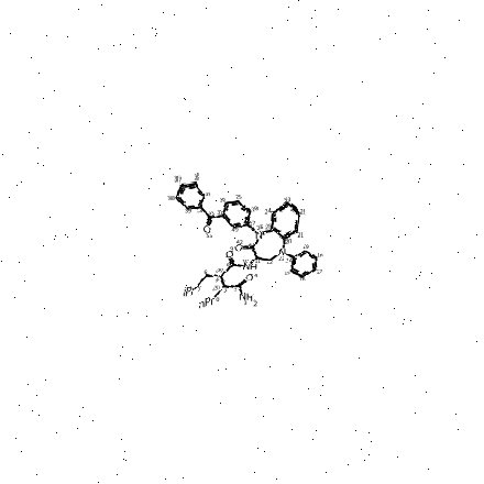 CCC[C@H](C(N)=O)[C@@H](CC(C)C)C(=O)NC1CN(c2ccccc2)c2ccccc2N(c2cccc(C(=O)c3ccccc3)c2)C1=O